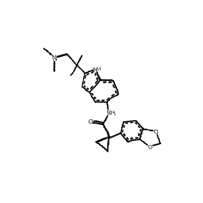 CN(C)CC(C)(C)c1cc2cc(NC(=O)C3(c4ccc5c(c4)OCO5)CC3)ccc2[nH]1